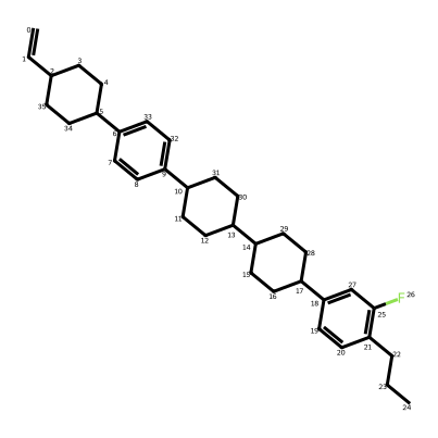 C=CC1CCC(c2ccc(C3CCC(C4CCC(c5ccc(CCC)c(F)c5)CC4)CC3)cc2)CC1